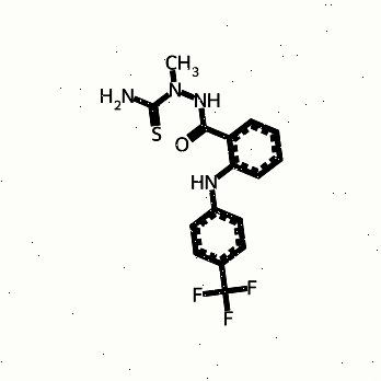 CN(NC(=O)c1ccccc1Nc1ccc(C(F)(F)F)cc1)C(N)=S